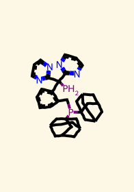 PC(c1ncccn1)(c1ncccn1)c1ccccc1CP(C12CC3CC(CC(C3)C1)C2)C12CC3CC(CC(C3)C1)C2